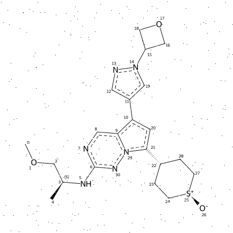 COC[C@H](C)Nc1ncc2c(-c3cnn(C4COC4)c3)cc([C@H]3CC[S@+]([O-])CC3)n2n1